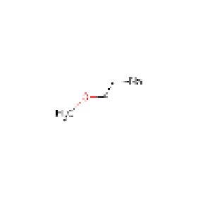 CO[CH][CH2][Na]